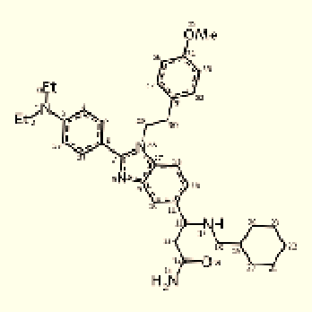 [CH2]CN(C[CH2])c1ccc(-c2nc3cc(C(CC(N)=O)NCC4CCCCC4)ccc3n2CCc2ccc(OC)cc2)cc1